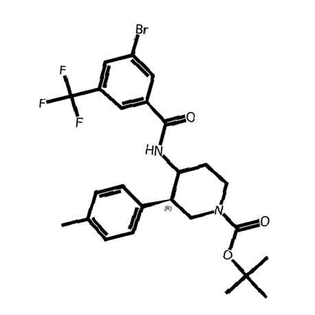 Cc1ccc([C@@H]2CN(C(=O)OC(C)(C)C)CCC2NC(=O)c2cc(Br)cc(C(F)(F)F)c2)cc1